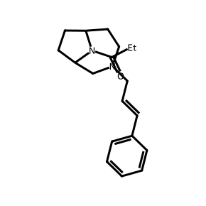 CCC(=O)N1C2CCC1CN(C/C=C/c1ccccc1)CC2